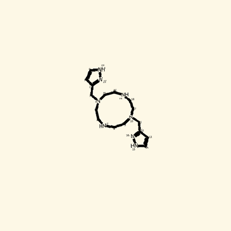 c1cc(CN2CCNCCN(Cc3cc[nH]n3)CCNCC2)n[nH]1